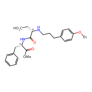 CCOc1ccc(CCCN[C@@H](CC(=O)O)C(=O)N[C@@H](Cc2ccccc2)C(=O)OC)cc1